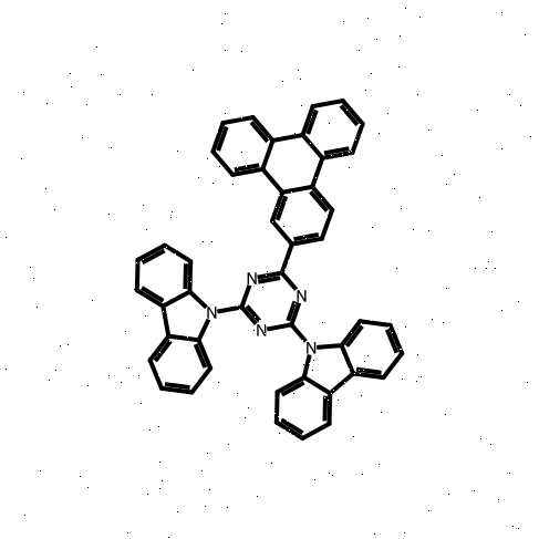 c1ccc2c(c1)c1ccccc1c1cc(-c3nc(-n4c5ccccc5c5ccccc54)nc(-n4c5ccccc5c5ccccc54)n3)ccc21